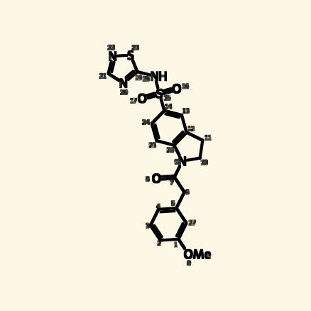 COc1cccc(CC(=O)N2CCc3cc(S(=O)(=O)Nc4ncns4)ccc32)c1